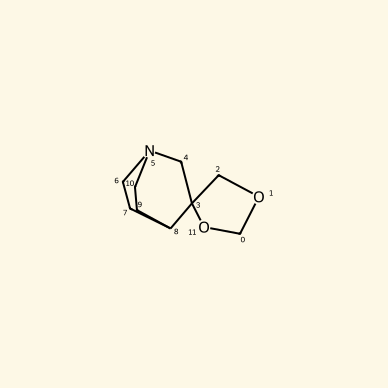 C1OCC2(CN3CCC2CC3)O1